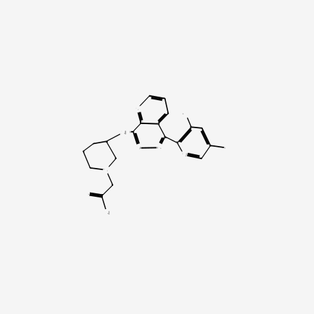 NC(=O)CN1CCCC(Nc2nnc(-c3ncc(Cl)cc3O)c3cccnc23)C1